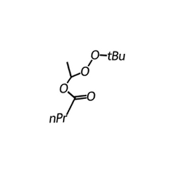 CCCC(=O)OC(C)OOC(C)(C)C